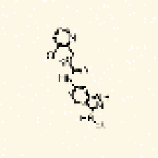 CCNc1n[nH]c2cc(NC(=O)NCc3ncccc3Cl)ncc12